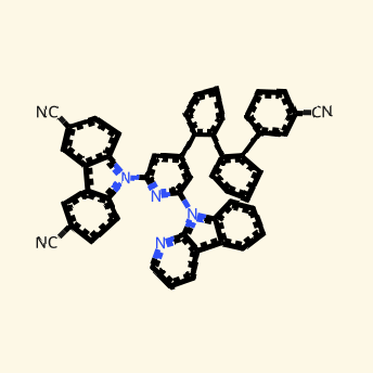 N#Cc1cccc(-c2ccccc2-c2ccccc2-c2cc(-n3c4ccc(C#N)cc4c4cc(C#N)ccc43)nc(-n3c4ccccc4c4cccnc43)c2)c1